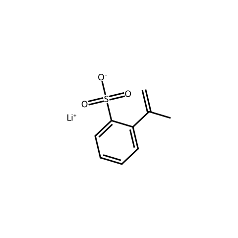 C=C(C)c1ccccc1S(=O)(=O)[O-].[Li+]